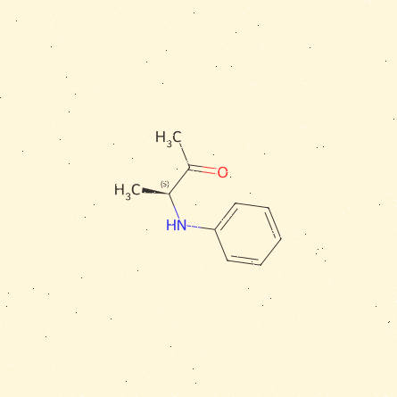 CC(=O)[C@H](C)Nc1ccccc1